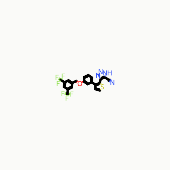 N#Cc1[nH]nnc1-c1sccc1-c1cccc(OCc2cc(C(F)(F)F)cc(C(F)(F)F)c2)c1